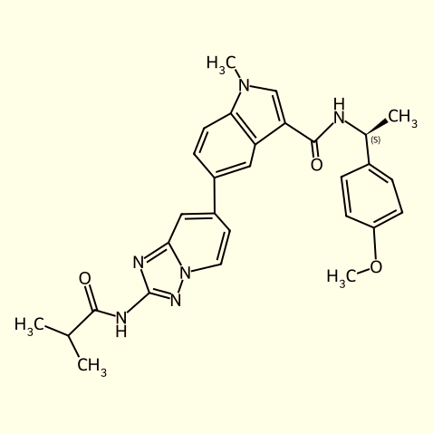 COc1ccc([C@H](C)NC(=O)c2cn(C)c3ccc(-c4ccn5nc(NC(=O)C(C)C)nc5c4)cc23)cc1